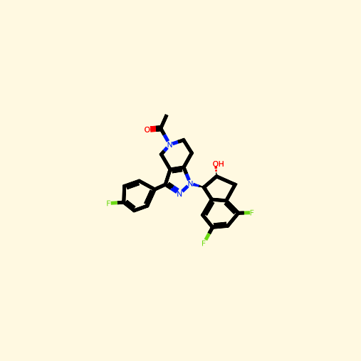 CC(=O)N1CCc2c(c(-c3ccc(F)cc3)nn2[C@@H]2c3cc(F)cc(F)c3C[C@H]2O)C1